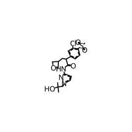 CC(C)(O)Cn1ccc(NC(=O)C(CC2COC2)c2ccc(S(C)(=O)=O)c(Cl)c2)n1